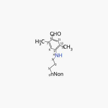 CCCCCCCCCCCCNc1cc(C)c(C=O)cc1C